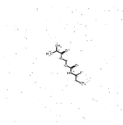 [CH2]CC(F)NC(=O)OCOC(=O)C(C)C